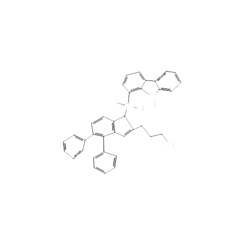 CCCCC1=Cc2c(ccc(-c3ccccc3)c2-c2ccccc2)[CH]1[Zr]([Cl])([Cl])[c]1cccc2c1[SiH2]c1ccccc1-2